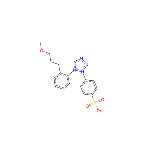 COCCCc1ccccc1-[n+]1cnnn1-c1ccc(S(=O)(=O)O)cc1